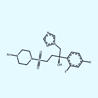 CC(=O)N1CCN(S(=O)(=O)CC[C@](O)(Cn2cncn2)c2ccc(F)cc2F)CC1